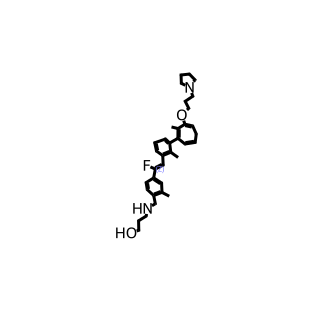 CC1=C(c2cccc(/C=C(\F)c3ccc(CNCCCO)c(C)c3)c2C)C=CCC=C1OCCCN1CCCC1